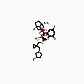 CC(C)(C)OC(=O)N1[C@@H]2CC[C@@]1(C)CN(c1nc(OCC3(CN4CC[C@@H](F)C4)CC3)nc3c(F)cc(F)cc13)C2